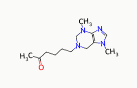 CC(=O)CCCCN1Cc2c(ncn2C)N(C)C1